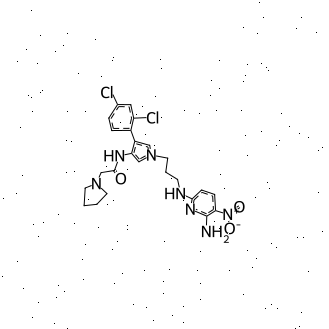 Nc1nc(NCCCn2cc(NC(=O)CN3CCCC3)c(-c3ccc(Cl)cc3Cl)c2)ccc1[N+](=O)[O-]